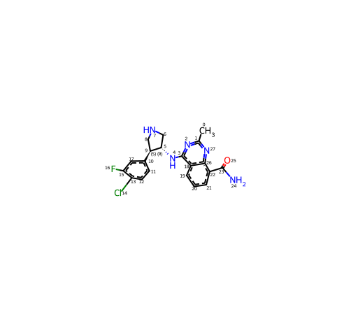 Cc1nc(N[C@H]2CNC[C@@H]2c2ccc(Cl)c(F)c2)c2cccc(C(N)=O)c2n1